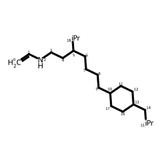 C=CNCCC(CCCCC1CCC(CC(C)C)CC1)C(C)C